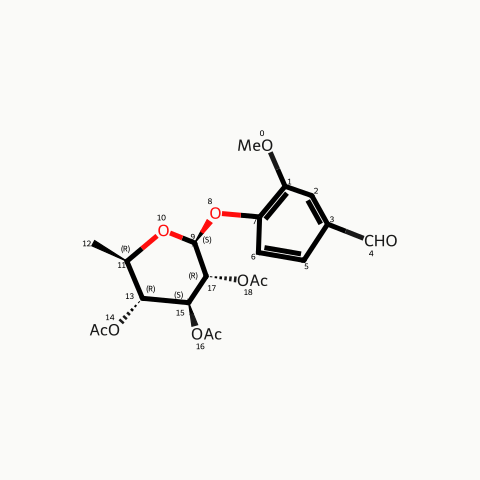 COc1cc(C=O)ccc1O[C@@H]1O[C@H](C)[C@@H](OC(C)=O)[C@H](OC(C)=O)[C@H]1OC(C)=O